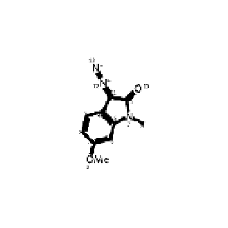 COc1ccc2c(c1)N(C)C(=O)C2=[N+]=[N-]